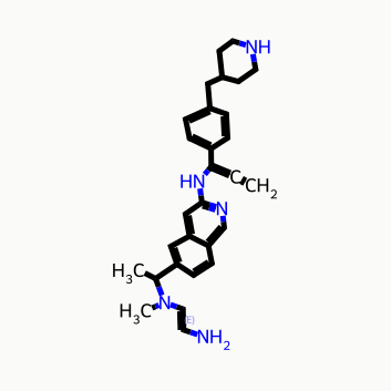 C=C=C(Nc1cc2cc(C(C)N(C)/C=C/N)ccc2cn1)c1ccc(CC2CCNCC2)cc1